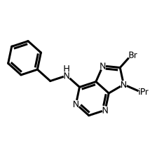 CC(C)n1c(Br)nc2c(NCc3ccccc3)ncnc21